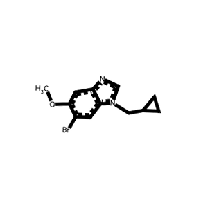 COc1cc2ncn(CC3CC3)c2cc1Br